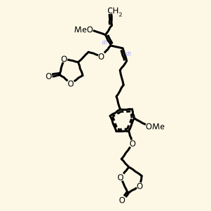 C=C/C(OC)=C(\C=C/CCCc1ccc(OCC2COC(=O)O2)c(OC)c1)OCC1COC(=O)O1